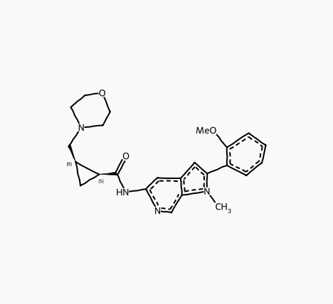 COc1ccccc1-c1cc2cc(NC(=O)[C@H]3C[C@H]3CN3CCOCC3)ncc2n1C